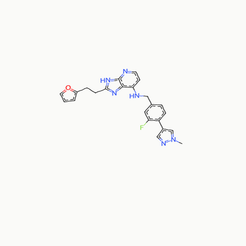 Cn1cc(-c2ccc(CNc3ccnc4[nH]c(CCc5ccco5)nc34)cc2F)cn1